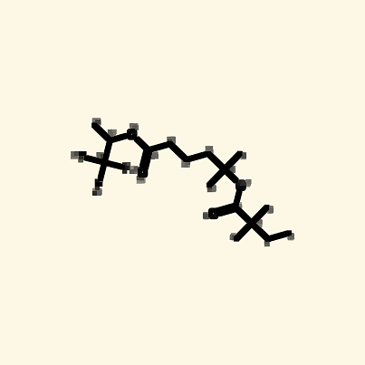 CCC(C)(C)C(=O)OC(C)(C)CCCC(=O)OC(C)C(F)(F)F